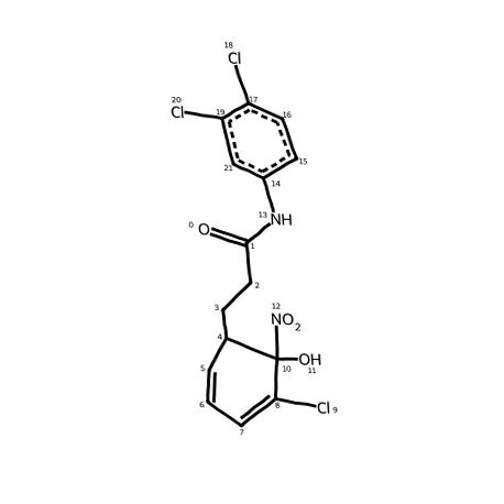 O=C(CCC1C=CC=C(Cl)C1(O)[N+](=O)[O-])Nc1ccc(Cl)c(Cl)c1